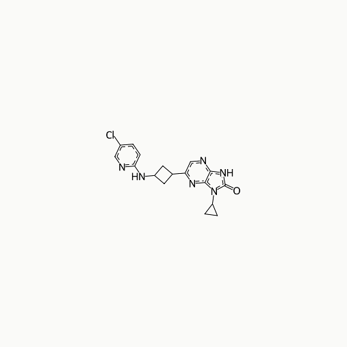 O=c1[nH]c2ncc(C3CC(Nc4ccc(Cl)cn4)C3)nc2n1C1CC1